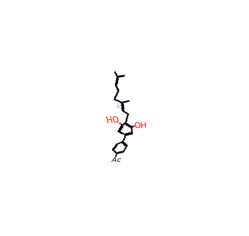 CC(=O)c1ccc(-c2cc(O)c(C/C=C(\C)CCC=C(C)C)c(O)c2)cc1